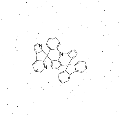 c1ccc2c(c1)-c1ccccc1C21c2ccccc2N2c3ccccc3C3(c4cccc1c42)c1ncccc1-c1cccnc13